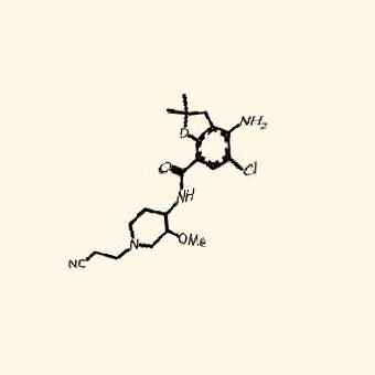 COC1CN(CCC#N)CCC1NC(=O)c1cc(Cl)c(N)c2c1OC(C)(C)C2